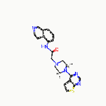 C[C@@H]1CN(CC(=O)Nc2cccc3cnccc23)C[C@H](C)N1c1ncnc2sccc12